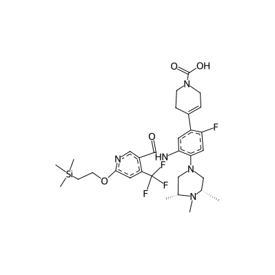 C[C@@H]1CN(c2cc(F)c(C3=CCN(C(=O)O)CC3)cc2NC(=O)c2cnc(OCC[Si](C)(C)C)cc2C(F)(F)F)C[C@H](C)N1C